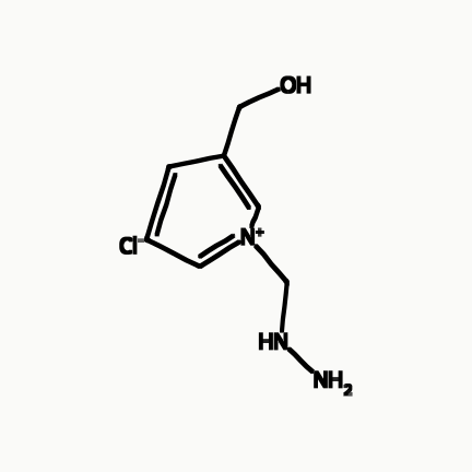 NNC[n+]1cccc(CO)c1.[Cl-]